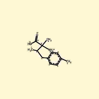 Cc1ccc(CC(C)C(C)(N)C(=O)O)cc1